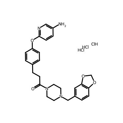 Cl.Cl.Cl.Nc1ccc(Oc2ccc(CCC(=O)N3CCN(Cc4ccc5c(c4)OCO5)CC3)cc2)nc1